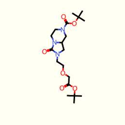 CC(C)(C)OC(=O)COCCN1CC2CN(C(=O)OC(C)(C)C)CCN2C1=O